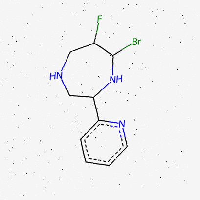 FC1CNCC(c2ccccn2)NC1Br